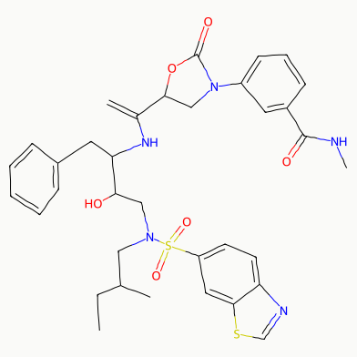 C=C(NC(Cc1ccccc1)C(O)CN(CC(C)CC)S(=O)(=O)c1ccc2ncsc2c1)C1CN(c2cccc(C(=O)NC)c2)C(=O)O1